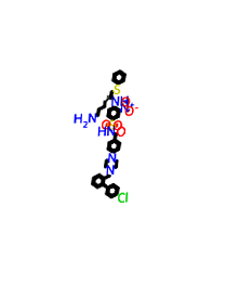 NCCCC[C@H](CSc1ccccc1)Nc1ccc(S(=O)(=O)NC(=O)c2ccc(N3CCN(Cc4ccccc4-c4ccc(Cl)cc4)CC3)cc2)cc1[N+](=O)[O-]